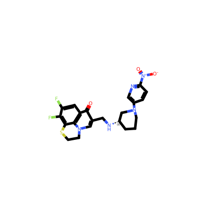 O=c1c(CN[C@H]2CCCN(c3ccc([N+](=O)[O-])nc3)C2)cn2c3c(c(F)c(F)cc13)SCC2